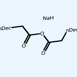 CCCCCCCCCCCC(=O)OC(=O)CCCCCCCCCCC.[NaH]